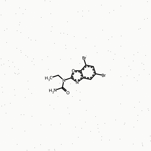 CCN(C(N)=O)c1nc2cc(Br)cc(Br)c2o1